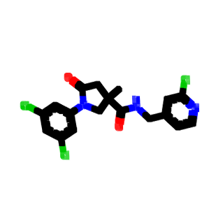 CC1(C(=O)NCc2ccnc(Cl)c2)CC(=O)N(c2cc(Cl)cc(Cl)c2)C1